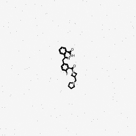 O=C(c1cc(Cc2n[nH]c(=O)c3ccccc23)ccc1F)N1CC(CN2CCCC2)C1